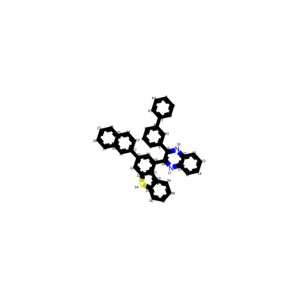 c1ccc(-c2cccc(-c3nc4ccccc4nc3-c3cc(-c4ccc5ccccc5c4)cc4sc5ccccc5c34)c2)cc1